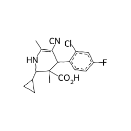 CC1=C(C#N)C(c2ccc(F)cc2Cl)C(C)(C(=O)O)C(C2CC2)N1